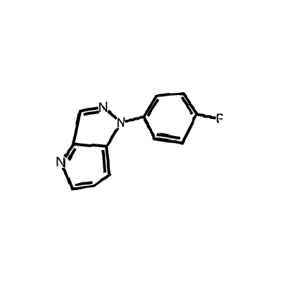 Fc1ccc(-n2ncc3ncccc32)cc1